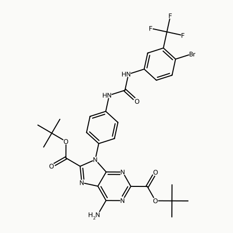 CC(C)(C)OC(=O)c1nc(N)c2nc(C(=O)OC(C)(C)C)n(-c3ccc(NC(=O)Nc4ccc(Br)c(C(F)(F)F)c4)cc3)c2n1